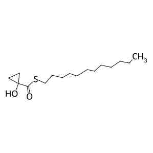 CCCCCCCCCCCCSC(=O)C1(O)CC1